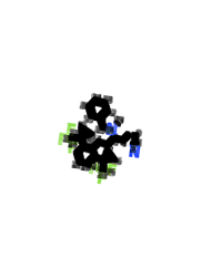 CC#N.CCC(CCc1c(C2(C(F)(F)F)CC2)cccc1C1(C(F)(F)F)CC1)N(C)Cc1ccccc1